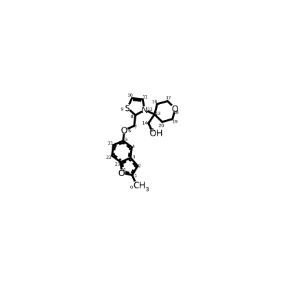 Cc1cc2cc(OCC3SC=CN3C3(CO)CCOCC3)ccc2o1